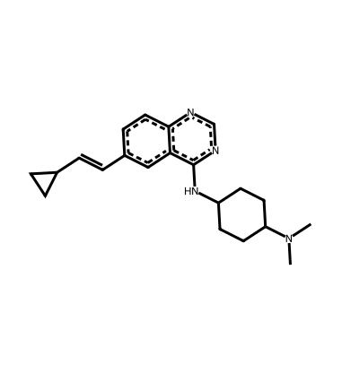 CN(C)C1CCC(Nc2ncnc3ccc(C=CC4CC4)cc23)CC1